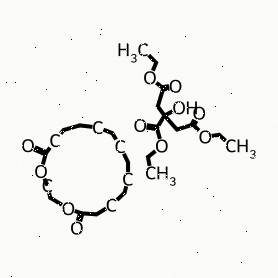 CCOC(=O)CC(O)(CC(=O)OCC)C(=O)OCC.O=C1CCCCCCCCCCCC(=O)OCCO1